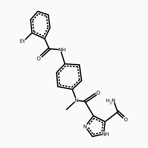 CCc1ccccc1C(=O)Nc1ccc(N(C)C(=O)c2nc[nH]c2C(N)=O)cc1